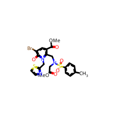 COC(=O)CN(Cc1c(C(=O)OC)cc(Br)c(=O)n1Cc1nccs1)S(=O)(=O)c1ccc(C)cc1